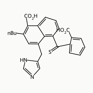 CCCCc1cc(Cc2cnc[nH]2)c2c(C(=S)c3ccccc3C(=O)O)cccc2c1C(=O)O